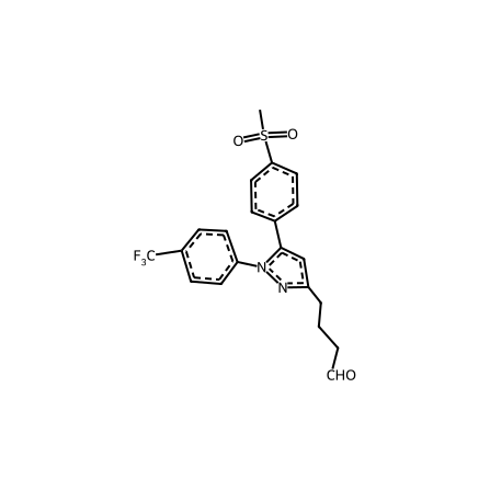 CS(=O)(=O)c1ccc(-c2cc(CCCC=O)nn2-c2ccc(C(F)(F)F)cc2)cc1